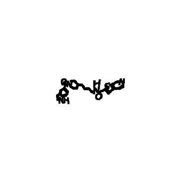 O=C(NCCCCC1CCN(C(=O)c2ccc3[nH]ccc3c2)CC1)c1cc2ccncc2s1